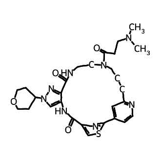 CN(C)CCC(=O)N1CCCc2cc(ccn2)-c2nc(cs2)C(=O)Nc2cn(C3CCOCC3)nc2C(=O)NCC1